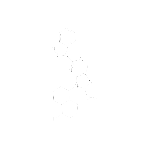 O=CC1Nc2cnc(-n3cnc4ccccc43)nc2N1C1CCCC2C(F)CCCC21